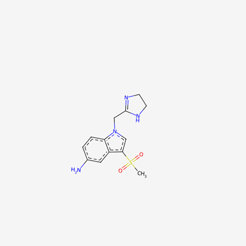 CS(=O)(=O)c1cn(CC2=NCCN2)c2ccc(N)cc12